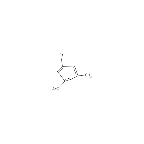 CCc1cc(C)cc(OC(C)=O)c1